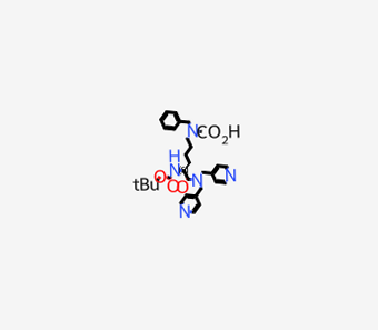 CC(C)(C)OC(=O)N[C@@H](CCCCN(Cc1ccccc1)C(=O)O)C(=O)N(Cc1ccncc1)Cc1ccncc1